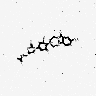 CC(=O)NC[C@H]1CN(c2cc(F)c(N3CCn4c(=O)c5cc(N)ccc5n4CC3)c(F)c2)C(=O)O1